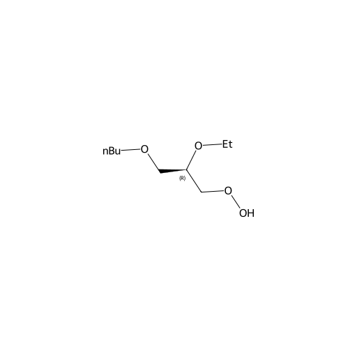 CCCCOC[C@H](COO)OCC